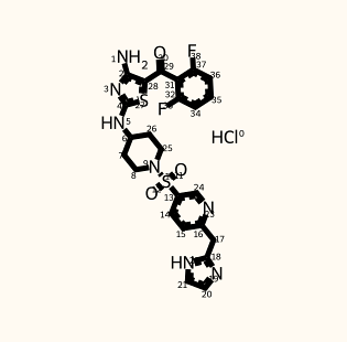 Cl.Nc1nc(NC2CCN(S(=O)(=O)c3ccc(Cc4ncc[nH]4)nc3)CC2)sc1C(=O)c1c(F)cccc1F